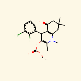 CC1=C(OC(=O)OC(C)C)C(c2cccc(Cl)c2Cl)C2=C(CC(C)(C)CC2=O)N1C